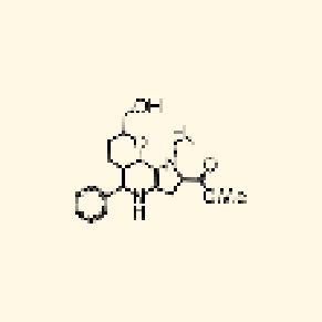 COC(=O)C1CC2=C(C3OC(CO)CCC3C(c3ccccc3)N2)N1C